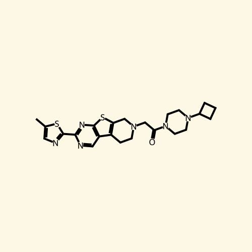 Cc1cnc(-c2ncc3c4c(sc3n2)CN(CC(=O)N2CCN(C3CCC3)CC2)CC4)s1